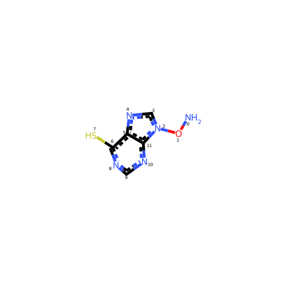 NOn1cnc2c(S)ncnc21